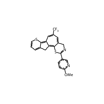 COc1ccc(C2=NCC3=CC(C(F)(F)F)=CC4=C5SC=CC=C5CC4=C3S2)cn1